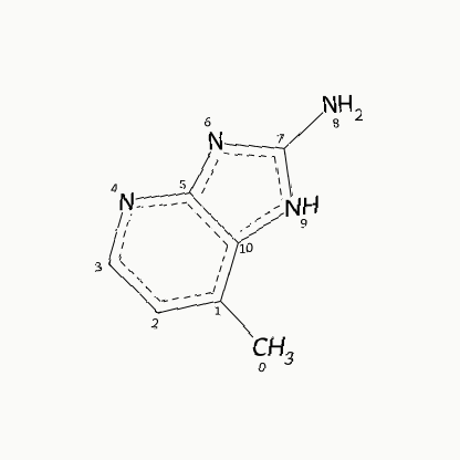 Cc1ccnc2nc(N)[nH]c12